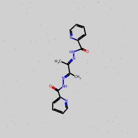 CC(=N\NC(=O)c1ccccn1)/C(C)=N/NC(=O)c1ccccn1